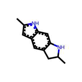 Cc1cc2cc3c(cc2[nH]1)NC(C)C3